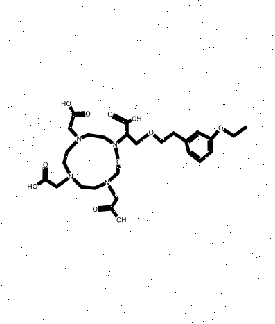 CCOc1cccc(CCOCC(C(=O)O)N2CCN(CC(=O)O)CCN(CC(=O)O)CCN(CC(=O)O)CC2)c1